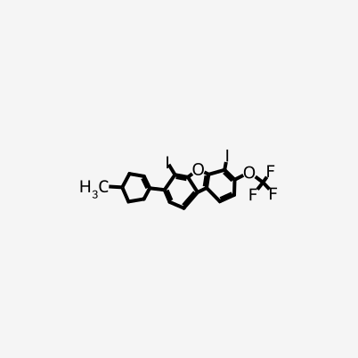 CC1CC=C(c2ccc3c(oc4c(I)c(OC(F)(F)F)ccc43)c2I)CC1